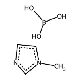 Cn1ccnc1.OB(O)O